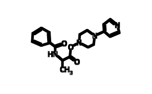 CC(NC(=O)c1ccccc1)C(=O)ON1CCN(c2ccncc2)CC1